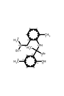 CCCC(C)(Pc1c(C)cccc1CN(C)CC)c1cc(C)ccc1O